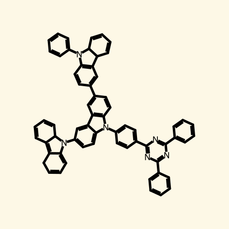 C1=CCC2=C3C=CC=CC3N(c3ccc4c(c3)c3cc(-c5ccc6c(c5)C5C=CC=CC5N6c5ccccc5)ccc3n4-c3ccc(-c4nc(-c5ccccc5)nc(-c5ccccc5)n4)cc3)C2=C1